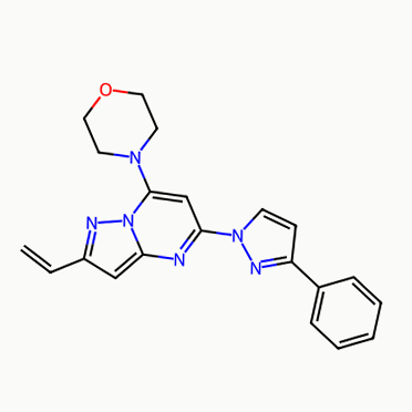 C=Cc1cc2nc(-n3ccc(-c4ccccc4)n3)cc(N3CCOCC3)n2n1